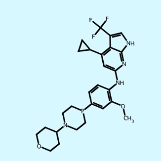 COc1cc(P2CCN(C3CCOCC3)CC2)ccc1Nc1cc(C2CC2)c2c(C(F)(F)F)c[nH]c2n1